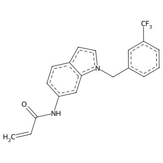 C=CC(=O)Nc1ccc2ccn(Cc3cccc(C(F)(F)F)c3)c2c1